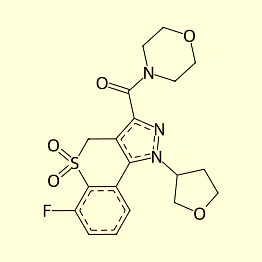 O=C(c1nn(C2CCOC2)c2c1CS(=O)(=O)c1c(F)cccc1-2)N1CCOCC1